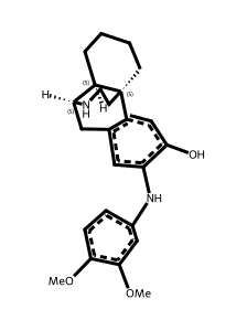 COc1ccc(Nc2cc3c(cc2O)[C@]24CCCC[C@@H]2[C@H](C3)NCC4)cc1OC